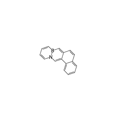 C1=CB2C=c3ccc4ccccc4c3=CN2C=C1